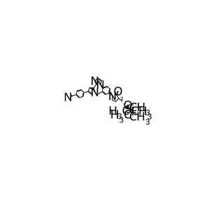 CC(C)(C)[Si](C)(C)OC[C@H]1C[C@@]12CCN(c1ccc3c(c1)Cn1cc(-c4ccc(C#N)cc4)cc1-c1nccn1-3)C2=O